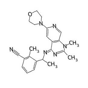 Cc1c(C#N)cccc1C(C)/N=c1\nc(C)n(C)c2cnc(N3CCOCC3)cc12